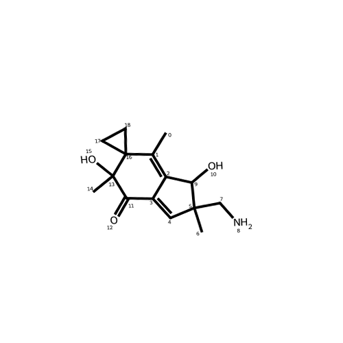 CC1=C2C(=CC(C)(CN)C2O)C(=O)C(C)(O)C12CC2